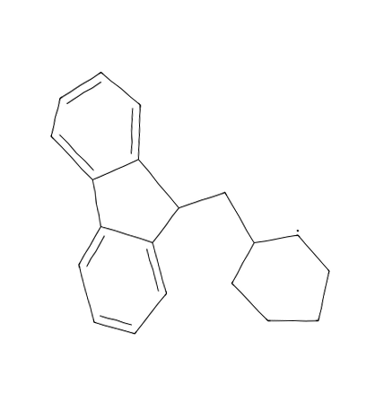 [CH]1CCCCC1CC1c2ccccc2-c2ccccc21